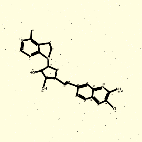 Cc1ncnc2c1CCN2C1CC(/C=C/c2ccc3cc(Cl)c(N)nc3c2)C(O)C1O